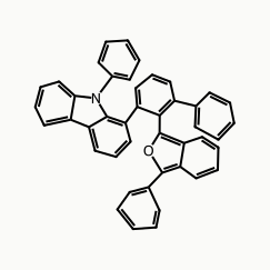 c1ccc(-c2cccc(-c3cccc4c5ccccc5n(-c5ccccc5)c34)c2-c2oc(-c3ccccc3)c3ccccc23)cc1